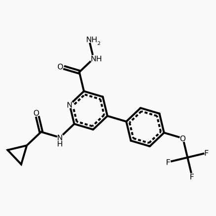 NNC(=O)c1cc(-c2ccc(OC(F)(F)F)cc2)cc(NC(=O)C2CC2)n1